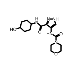 O=C(NC1CCC(O)CC1)c1n[nH]cc1NC(=O)N1CCOCC1